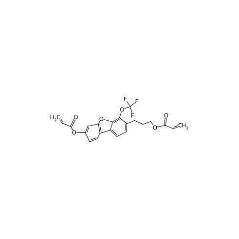 C=CC(=O)OCCCc1ccc2c(oc3cc(OC(=O)C=C)ccc32)c1OC(F)(F)F